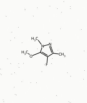 COc1c(F)c(C)nn1C